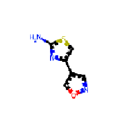 Nc1nc(-c2cnoc2)cs1